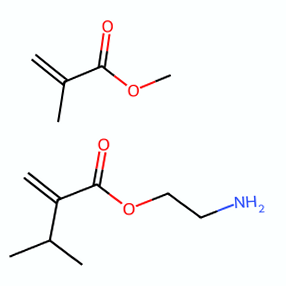 C=C(C(=O)OCCN)C(C)C.C=C(C)C(=O)OC